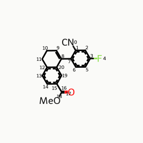 [C-]#[N+]c1cc(F)ccc1C1=CCCc2ccc(C(=O)OC)cc21